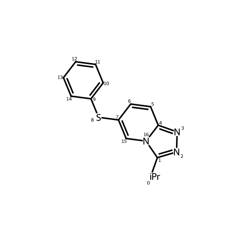 CC(C)c1nnc2ccc(Sc3ccccc3)cn12